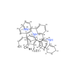 CC/C=C\c1ccc(C2=C(CC)C3CCCC=C3NC2c2cccc(C34C=CC(=CN3)/C=C\C3=C4NC(c4ccccc4)C=C3)c2)c(C)c1C